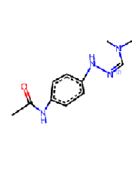 CC(=O)Nc1ccc(N/N=C\N(C)C)cc1